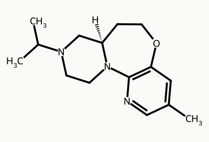 Cc1cnc2c(c1)OCC[C@@H]1CN(C(C)C)CCN21